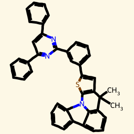 CC1(C)c2cc(-c3cccc(-c4nc(-c5ccccc5)cc(-c5ccccc5)n4)c3)sc2-n2c3ccccc3c3cccc1c32